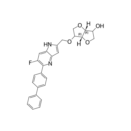 OC1CO[C@@H]2C(OCc3cc4nc(-c5ccc(-c6ccccc6)cc5)c(F)cc4[nH]3)CO[C@H]12